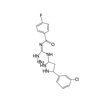 CC(C)(C)N/C(=N/C(=O)c1ccc(F)cc1)NC1CC(c2cccc(Cl)c2)NN1